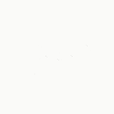 CC(CC(=N)c1ccc([N+](=O)[O-])cn1)NC(=O)OC(C)(C)C